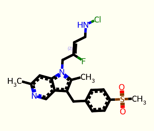 Cc1cc2c(cn1)c(Cc1ccc(S(C)(=O)=O)cc1)c(C)n2C/C(F)=C/CNCl